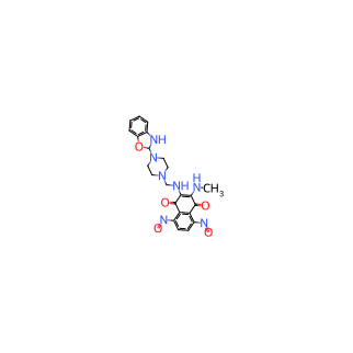 CNC1=C(NCN2CCN(C3Nc4ccccc4O3)CC2)C(=O)c2c(N=O)ccc(N=O)c2C1=O